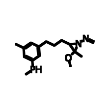 C=NN1C(CCCc2cc(C)cc(PC)c2)C1(C)OC